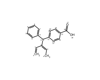 C=C/C(=C\C)N(c1ccccc1)c1ncc(C(=O)O)cn1